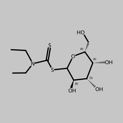 CCN(CC)C(=S)SC1O[C@H](CO)[C@H](O)[C@H](O)[C@H]1O